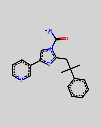 CC(C)(Cc1nc(-c2cccnc2)cn1C(N)=O)c1ccccc1